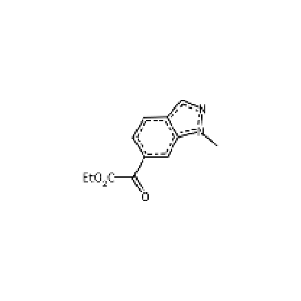 CCOC(=O)C(=O)c1ccc2cnn(C)c2c1